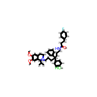 COc1cc2c(cc1OC)C(C(C)C)N(CCCC(CCCNC(=O)CCc1ccc(F)cc1)(c1ccccc1)c1ccccc1)CC2.Cl